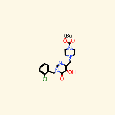 CC(C)(C)OC(=O)N1CCN(Cc2ncn(Cc3ccccc3Cl)c(=O)c2O)CC1